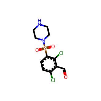 O=[C]c1c(Cl)ccc(S(=O)(=O)N2CCNCC2)c1Cl